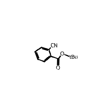 CC(C)(C)OC(=O)c1ccccc1C#N